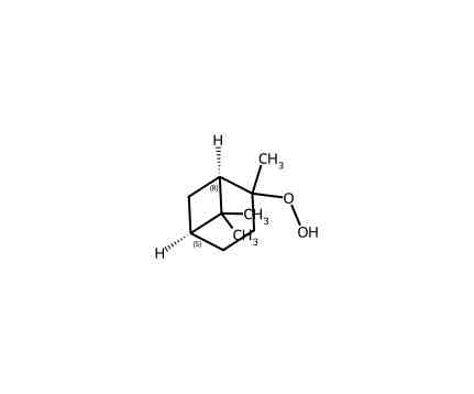 CC1(OO)CC[C@H]2C[C@@H]1C2(C)C